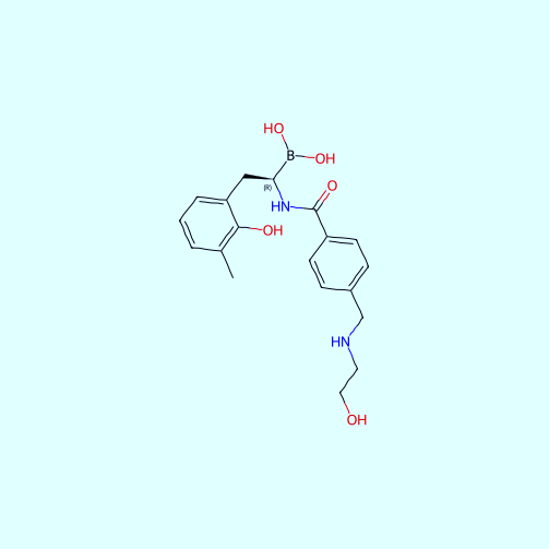 Cc1cccc(C[C@H](NC(=O)c2ccc(CNCCO)cc2)B(O)O)c1O